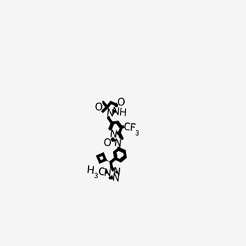 Cn1cnnc1[C@@H](c1cccc(-n2cc3c(C(F)(F)F)cc(CN4NC(=O)CC45COC5)cn3c2=O)c1)C1CCC1